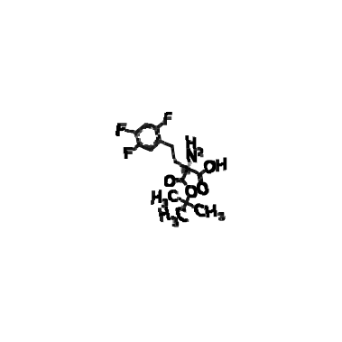 CC(C)(C)OC(=O)[C@@](N)(CCc1cc(F)c(F)cc1F)C(=O)O